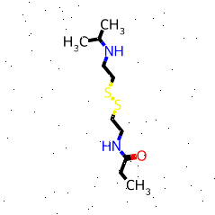 CCC(=O)NCCSSCCNC(C)C